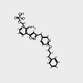 Nc1c(-c2cc(Cc3ccc(OCCCc4ccccc4)nc3)no2)ccc[n+]1COP(=O)([O-])O